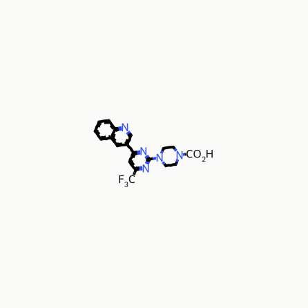 O=C(O)N1CCN(c2nc(-c3cnc4ccccc4c3)cc(C(F)(F)F)n2)CC1